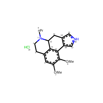 CCCN1CCc2cc(OC)c(OC)c3c2C1Cc1c[nH]cc1-3.Cl